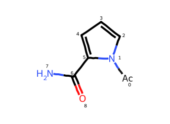 CC(=O)n1cccc1C(N)=O